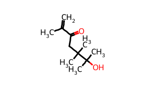 C=C(C)C(=O)CC(C)(C)C(C)(C)O